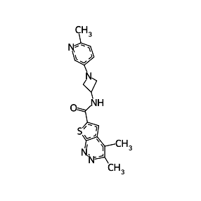 Cc1ccc(N2CC(NC(=O)c3cc4c(C)c(C)nnc4s3)C2)cn1